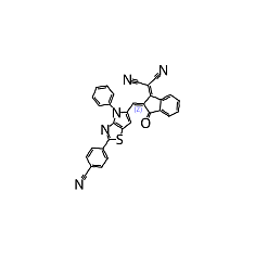 N#CC(C#N)=C1/C(=C/c2cc3sc(-c4ccc(C#N)cc4)nc3n2-c2ccccc2)C(=O)c2ccccc21